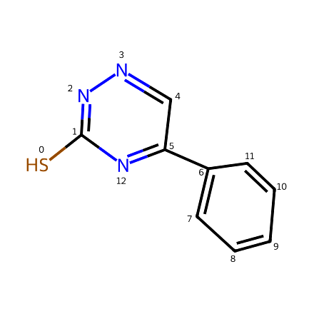 Sc1nncc(-c2ccccc2)n1